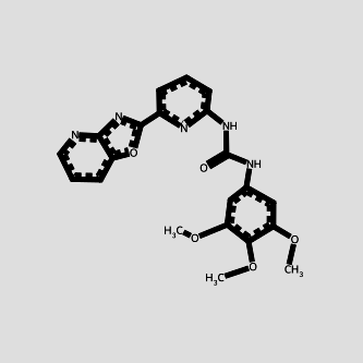 COc1cc(NC(=O)Nc2cccc(-c3nc4ncccc4o3)n2)cc(OC)c1OC